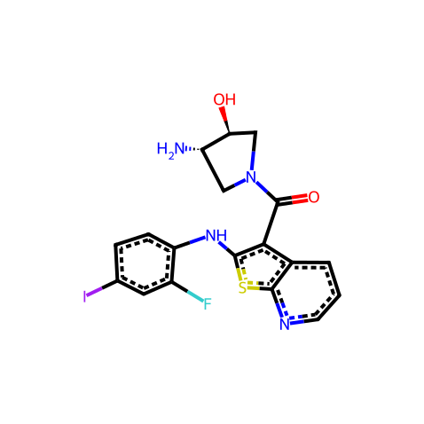 N[C@H]1CN(C(=O)c2c(Nc3ccc(I)cc3F)sc3ncccc23)C[C@@H]1O